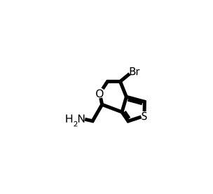 NCC1OCC(Br)c2cscc21